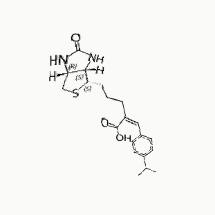 CC(C)c1ccc(C=C(CCC[C@@H]2SC[C@@H]3NC(=O)N[C@@H]32)C(=O)O)cc1